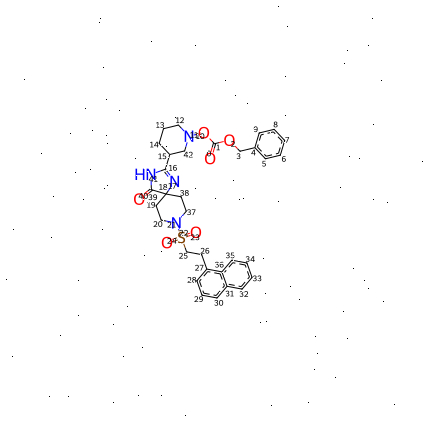 O=C(OCc1ccccc1)ON1CCCC(C2=NC3(CCN(S(=O)(=O)CCc4cccc5ccccc45)CC3)C(=O)N2)C1